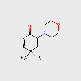 CC1(C)C=CC(=O)C(N2CCOCC2)C1